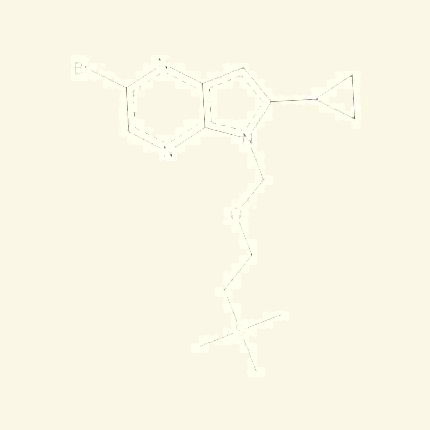 C[Si](C)(C)CCOCn1c(C2CC2)cc2nc(Br)cnc21